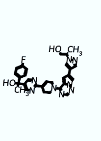 C[C@H](CO)n1cc(-c2cc3c(N4CC=C(c5ncc(C(C)(O)c6ccc(F)cc6)cn5)CC4)ncnn3c2)cn1